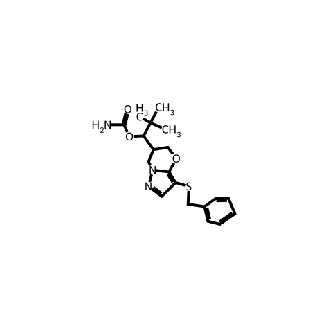 CC(C)(C)C(OC(N)=O)C1COc2c(SCc3ccccc3)cnn2C1